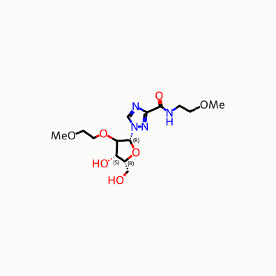 COCCNC(=O)c1ncn([C@@H]2O[C@H](CO)[C@H](O)C2OCCOC)n1